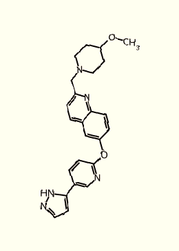 COC1CCN(Cc2ccc3cc(Oc4ccc(-c5ccn[nH]5)cn4)ccc3n2)CC1